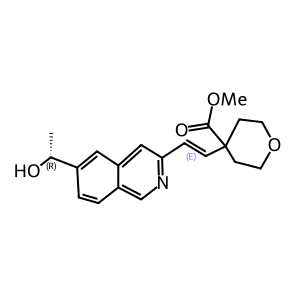 COC(=O)C1(/C=C/c2cc3cc([C@@H](C)O)ccc3cn2)CCOCC1